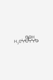 CCCCOC(CCCC=O)C(=O)O